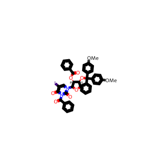 COc1ccc(C(O[C@H]2COC(n3cc(I)c(=O)n(C(=O)c4ccccc4)c3=O)[C@@H]2OC(=O)c2ccccc2)(c2ccccc2)c2ccc(OC)cc2)cc1